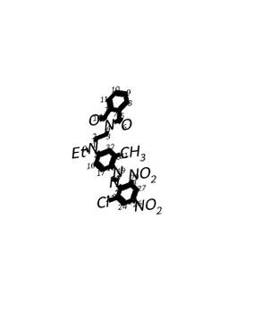 CCN(CCN1C(=O)c2ccccc2C1=O)c1ccc(/N=N/c2c(Cl)cc([N+](=O)[O-])cc2[N+](=O)[O-])c(C)c1